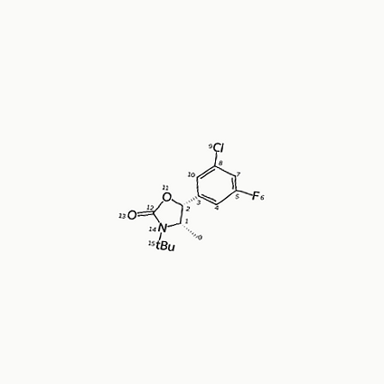 C[C@H]1[C@@H](c2cc(F)cc(Cl)c2)OC(=O)N1C(C)(C)C